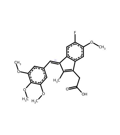 COc1cc2c(cc1F)/C(=C/c1cc(OC)c(OC)c(OC)c1)C(C)=C2CC(=O)O